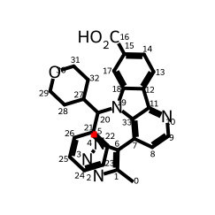 Cc1nnn(C)c1-c1ccnc2c3ccc(C(=O)O)cc3n(C(c3ccccc3)C3CCOCC3)c12